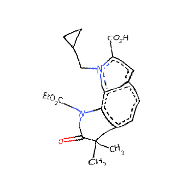 CCOC(=O)N1C(=O)C(C)(C)c2ccc3cc(C(=O)O)n(CC4CC4)c3c21